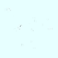 NC(=O)C[C@H](N)C(=O)N(CP(=O)(O)O)CP(=O)(O)O